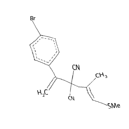 C=C(c1ccc(Br)cc1)C(C#N)(C#N)/C(C)=C/SC